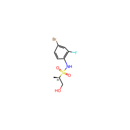 C[C@H](CO)S(=O)(=O)Nc1ccc(Br)cc1F